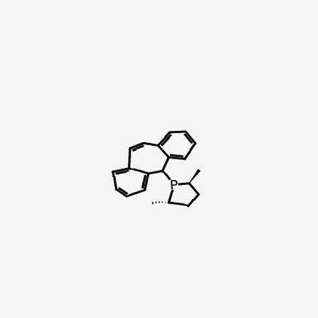 C[C@H]1CC[C@H](C)P1C1c2ccccc2C=Cc2ccccc21